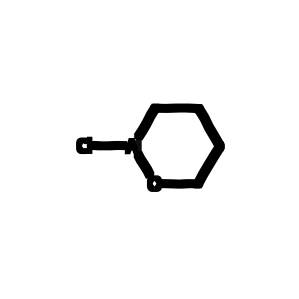 [Cl][Al]1[CH2]CCC[O]1